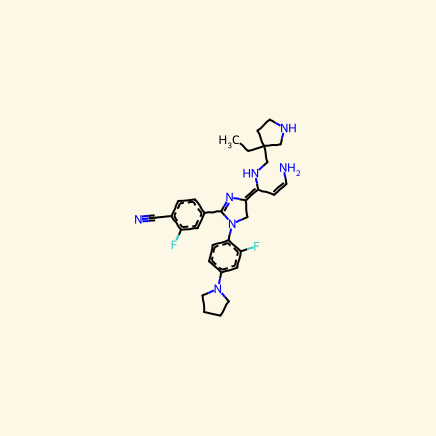 CCC1(CNC(/C=C\N)=C2/CN(c3ccc(N4CCCC4)cc3F)C(c3ccc(C#N)c(F)c3)=N2)CCNC1